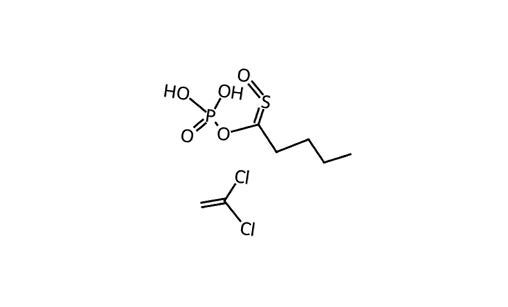 C=C(Cl)Cl.CCCCC(OP(=O)(O)O)=S=O